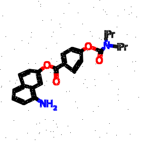 CC(C)N(C(=O)Oc1ccc(C(=O)Oc2ccc3cccc(N)c3c2)cc1)C(C)C